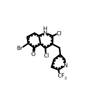 O=c1c(Br)ccc2[nH]c(Cl)c(Cc3ccc(C(F)(F)F)nc3)c(Cl)c1-2